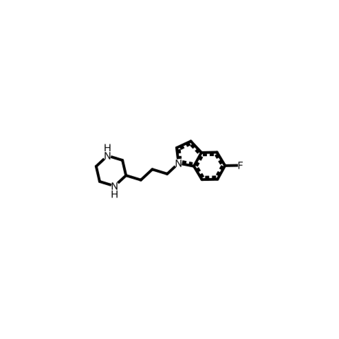 Fc1ccc2c(ccn2CCCC2CNCCN2)c1